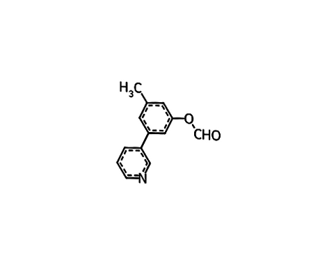 Cc1cc(OC=O)cc(-c2cccnc2)c1